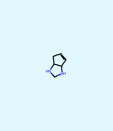 [C]1NC2C=CCC2N1